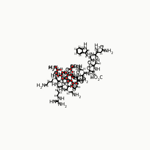 C[C@H](NC(=O)[C@H](Cc1c[nH]c2ccccc12)NC(=O)[C@@H](N)CC(N)=O)C(=O)N[C@@H](CC(=O)O)C(=O)N[C@@H](CC(N)=O)C(=O)N[C@@H](CCC(=O)O)C(=O)N1CCC[C@H]1C(=O)N[C@@H](CC(N)=O)C(=O)N[C@@H](CC(N)=O)C(=O)N[C@@H](CCCCN)C(=O)N[C@@H](CCCNC(=N)N)C(=O)N[C@@H](CC(N)=O)C(=O)N[C@@H](CC(N)=O)C(=O)N[C@@H](CCC(=O)O)C(=O)N[C@@H](CC(N)=O)C(N)=O